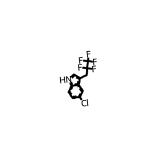 FC(F)(F)C(F)(F)Cc1c[nH]c2ccc(Cl)cc12